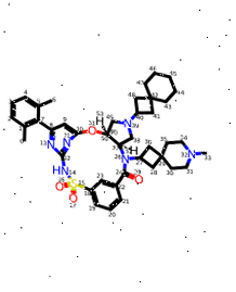 Cc1cccc(C)c1-c1cc2nc(n1)NS(=O)(=O)c1cccc(c1)C(=O)N(C1CC3(CCN(C)CC3)C1)[C@@H]1CN(C3CC4(CCCCC4)C3)C[C@H]1O2